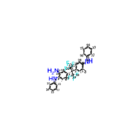 Cc1cc(C(c2ccc(Nc3ccccc3)c(N)c2)(C(F)(F)F)C(F)(F)F)ccc1Nc1ccccc1